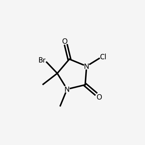 CN1C(=O)N(Cl)C(=O)C1(C)Br